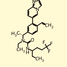 C=Cc1ccc([C@@H](C)N(CC)C(=O)NC(CC)CCC(F)(F)F)cc1-c1ccc2nccn2c1